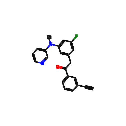 C#Cc1cccc(C(=O)Cc2cc(F)cc(N(CC)c3cccnc3)c2)c1